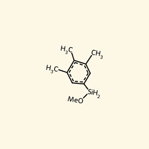 CO[SiH2]c1cc(C)c(C)c(C)c1